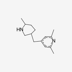 Cc1cc(CC2CCC(C)NC2)cc(C)n1